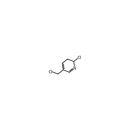 ClCC1=CCC(Cl)N=C1